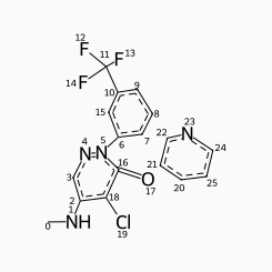 CNc1cnn(-c2cccc(C(F)(F)F)c2)c(=O)c1Cl.c1ccncc1